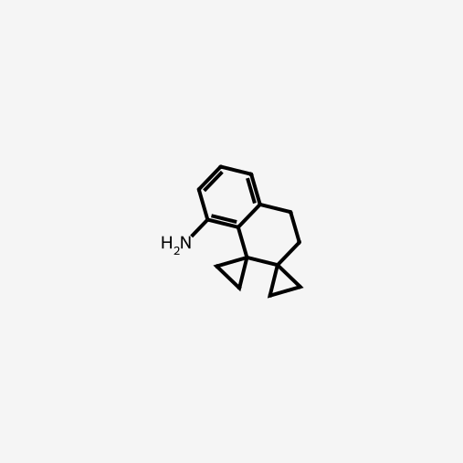 Nc1cccc2c1C1(CC1)C1(CC2)CC1